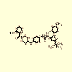 Cc1ccc(-n2nc(C(C)(C)C)cc2NC(=O)Nc2ccc(CC3CCN(C(=O)c4nccnc4N)CC3)cc2)cc1